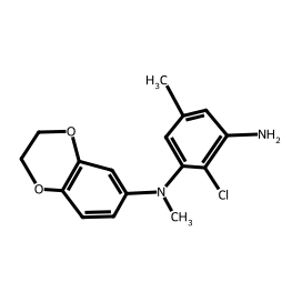 Cc1cc(N)c(Cl)c(N(C)c2ccc3c(c2)OCCO3)c1